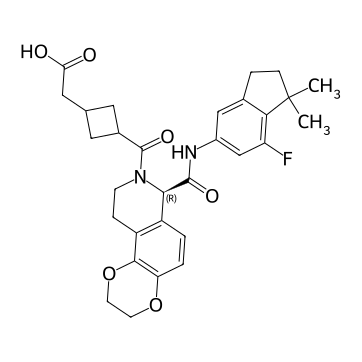 CC1(C)CCc2cc(NC(=O)[C@H]3c4ccc5c(c4CCN3C(=O)C3CC(CC(=O)O)C3)OCCO5)cc(F)c21